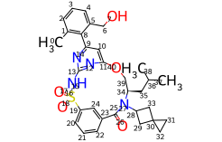 Cc1cccc(CO)c1-c1cc2nc(n1)NS(=O)(=O)c1cccc(c1)C(=O)N(C1CC3(CC3)C1)[C@H](CC(C)C)CO2